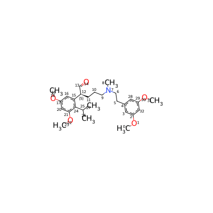 COc1cc(CCN(C)CCC[C@H](C=O)c2cc(OC)cc(OC)c2C(C)C)cc(OC)c1